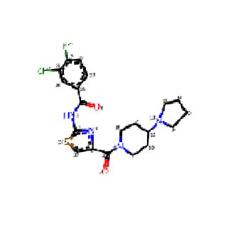 O=C(Nc1nc(C(=O)N2CCC(N3CCCC3)CC2)cs1)c1ccc(F)c(Cl)c1